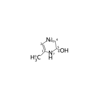 CC1=CN=CC(O)N1